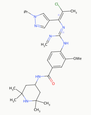 C=N/C(=N\C(=C(/C)Cl)c1cnn(C(C)C)c1)Nc1ccc(C(=O)NC2CC(C)(C)NC(C)(C)C2)cc1OC